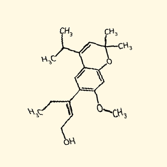 CC/C(=C\CO)c1cc2c(cc1OC)OC(C)(C)C=C2C(C)C